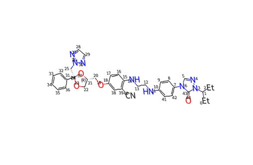 CCC(CC)n1ncn(-c2ccc(NCCNc3ccc(OC[C@@H]4CO[C@@](Cn5nccn5)(c5ccccc5)O4)cc3C#N)cc2)c1=O